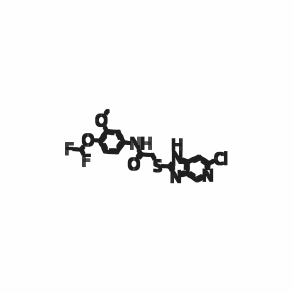 COc1cc(NC(=O)CSc2nc3cnc(Cl)cc3[nH]2)ccc1OC(F)F